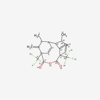 C=C1C(C)C2C=CC1(C(F)(F)F)C(=O)OC(=O)C1(C(F)(F)F)C=CC(C)C2C1=C